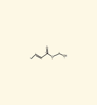 C/C=C/C(=O)OCO